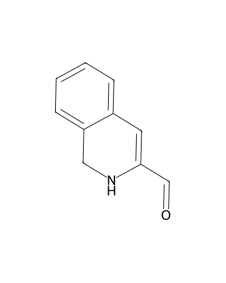 O=CC1=Cc2ccccc2CN1